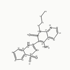 CCCCn1c(=O)c(C2=NS(=O)(=O)c3ccccc3N2)c(N)c2cccnc21